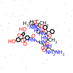 CC(C)[C@H](NC(=O)[C@H](C)N)C(=O)N1CCC[C@H]1C(=O)N[C@H](C(=O)N[C@@H](C)C(=O)N[C@@H](CCCCNC(=O)c1ccc2c(c1)C(=O)OC21c2ccc(O)cc2Oc2cc(O)ccc21)C(=O)N[C@@H](CCCCN)C(N)=O)C(c1ccccc1)c1ccccc1